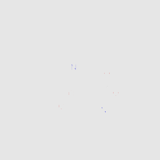 CCOC(=O)c1cccnc1C(C(=O)OCC)C1CCN(C2CCCCC2)C1